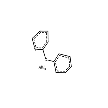 [AlH3].c1ccc(Oc2ccccn2)cc1